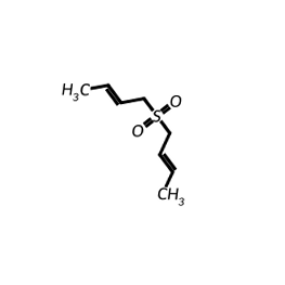 CC=CCS(=O)(=O)CC=CC